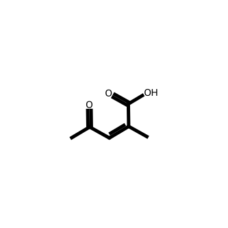 CC(=O)C=C(C)C(=O)O